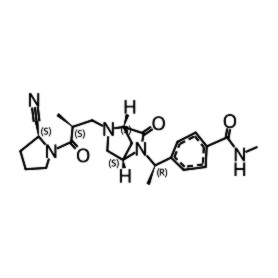 CNC(=O)c1ccc([C@@H](C)N2C(=O)[C@@H]3C[C@H]2CN3C[C@H](C)C(=O)N2CCC[C@H]2C#N)cc1